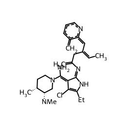 C=C(CC(=C/C)/C=c1/ncccc1=C)/N=C1/NC(CC)=C(Cl)/C1=C(/N)N1CC[C@@H](C)[C@@H](NC)C1